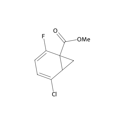 COC(=O)C12CC1C(Cl)=CC=C2F